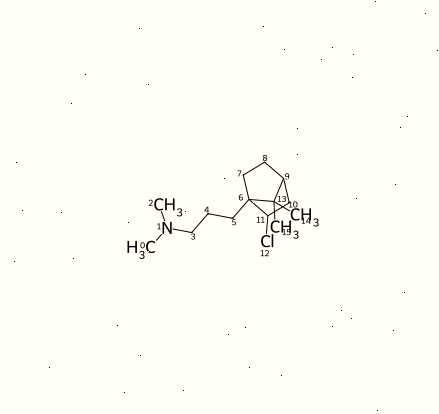 CN(C)CCCC12CCC(CC1Cl)C2(C)C